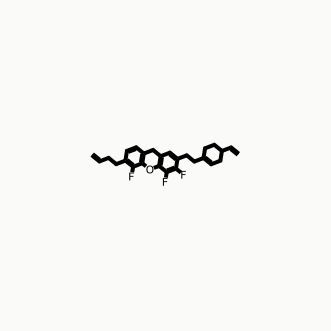 C=CCCc1ccc2c(c1F)Oc1c(cc(CCC3=CCC(C=C)CC3)c(F)c1F)C2